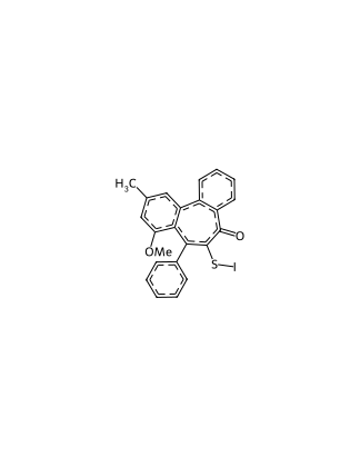 COc1cc(C)cc2c1c(-c1ccccc1)c(SI)c(=O)c1ccccc12